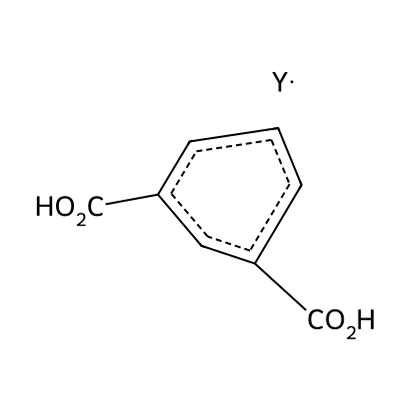 O=C(O)c1cccc(C(=O)O)c1.[Y]